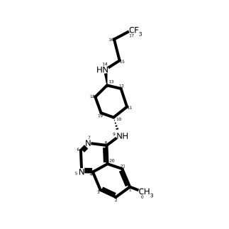 Cc1ccc2ncnc(N[C@H]3CC[C@H](NCCC(F)(F)F)CC3)c2c1